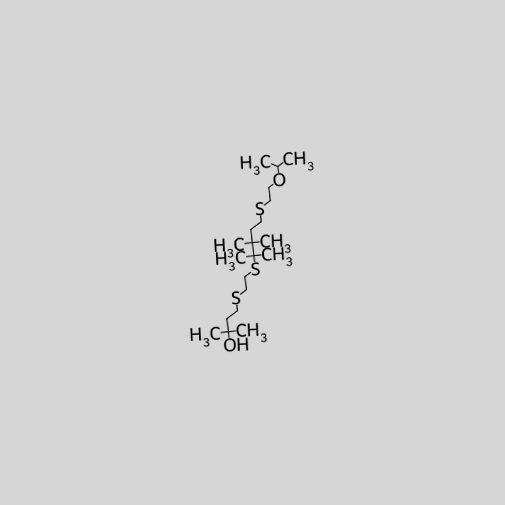 CC(C)OCCSCCC(C)(C)C(C)(C)SCCSCCC(C)(C)O